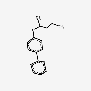 CCCC(C)Oc1ccc(-c2ccccn2)cc1